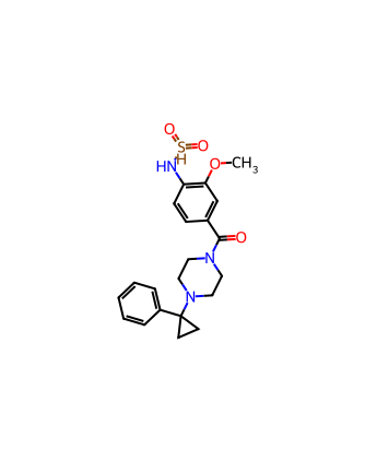 COc1cc(C(=O)N2CCN(C3(c4ccccc4)CC3)CC2)ccc1N[SH](=O)=O